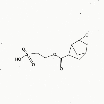 O=C(OCCS(=O)(=O)O)C1CC2CC1C1OC21